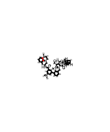 COc1c(CN2O[C@@H](CO)[C@@H]([C@H](C)O)[C@H]2C(=O)N[C@H]2C[C@H]3C[C@@H]([C@@H]2C)C3(C)C)cccc1-c1cc(C(=O)N[C@H](Cc2ccccc2)CN2CCN(C)CC2)cc(N(C)C)c1